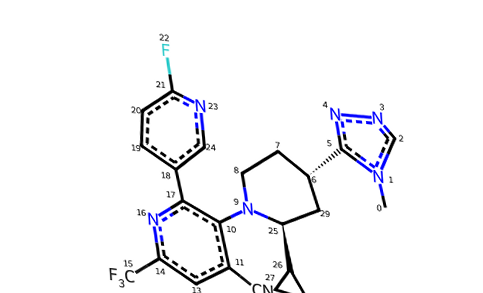 Cn1cnnc1[C@H]1CCN(c2c(C#N)cc(C(F)(F)F)nc2-c2ccc(F)nc2)[C@H](C2CC2)C1